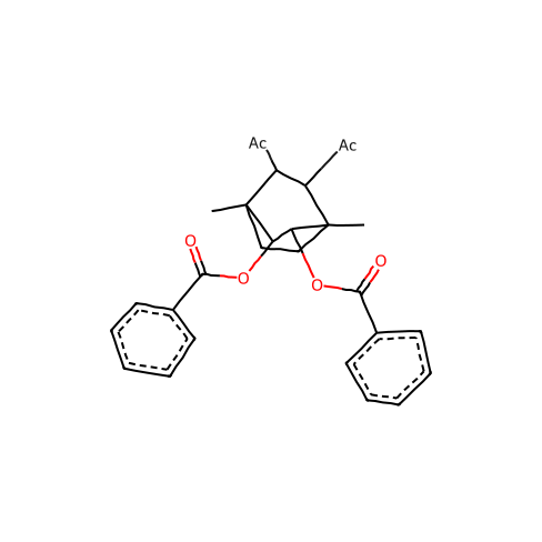 CC(=O)C1C(C(C)=O)C2(C)CCC1(C)C(OC(=O)c1ccccc1)C2OC(=O)c1ccccc1